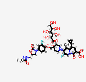 CC(=O)NC[C@H]1CN(c2ccc(OCC3(OC(=O)[C@H](O)[C@@H](O)[C@H](O)[C@H](O)CO)CCN(c4c(F)cn5c(=O)c(C(=O)O)cc(C6CC6)c5c4C)CC3)c(F)c2)C(=O)O1